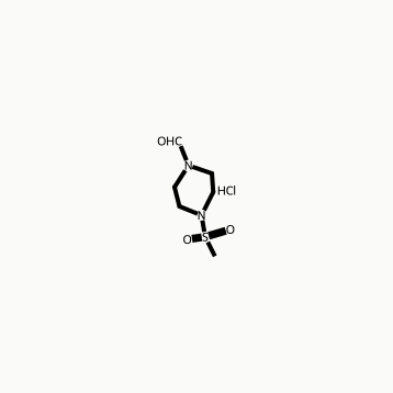 CS(=O)(=O)N1CCN(C=O)CC1.Cl